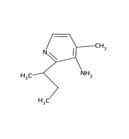 CCC(C)c1nccc(C)c1N